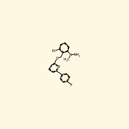 CCc1cccc(N(C)N)c1COc1cccc(-c2ccc(F)cc2)n1